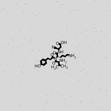 CC(C)[C@H](N)C(=O)N(C(=O)CCc1ccc(O)cc1)[C@@H](CCCCN)C(=O)NC(C#N)CC(=O)O